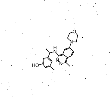 Cc1cc(O)cc([C@@H](C)Nc2nnc(C)c3ccc(N4CCOCC4)cc23)c1